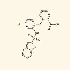 Cc1cccc(C(=O)O)c1Oc1ncc(Cl)cc1NS(=O)(=O)c1cc2ccccc2o1